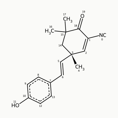 [C-]#[N+]C1=C[C@](C)(/C=C/c2ccc(O)cc2)CC(C)(C)C1=O